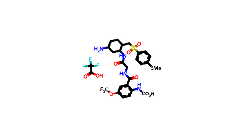 CSc1ccc(S(=O)(=O)CC2CCC(N)CC2NC(=O)CNC(=O)c2cc(OC(F)(F)F)ccc2NC(=O)O)cc1.O=C(O)C(F)(F)F